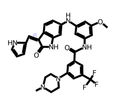 COc1cc(NC(=O)c2cc(N3CCN(C)CC3)cc(C(F)(F)F)c2)cc(Nc2ccc3c(c2)NC(=O)/C3=C\c2ccc[nH]2)c1